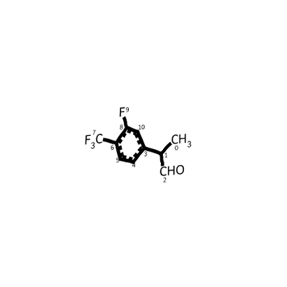 CC(C=O)c1ccc(C(F)(F)F)c(F)c1